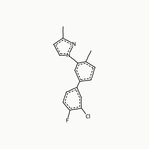 Cc1ccn(-c2cc(-c3ccc(F)c(Cl)c3)ccc2C)n1